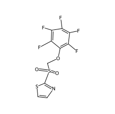 O=S(=O)(COc1c(F)c(F)c(F)c(F)c1F)c1nccs1